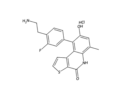 Cc1cc(O)c(-c2ccc(CCN)c(F)c2)c2c1[nH]c(=O)c1sccc12.Cl